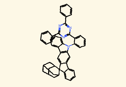 c1ccc(-c2nc(-c3ccccc3)nc(-c3ccccc3-n3c4ccccc4c4cc5c(cc43)-c3ccccc3C53C4CC5CC(C4)CC3C5)n2)cc1